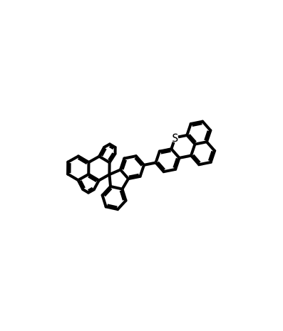 c1ccc2c(c1)-c1cc(-c3ccc4c(c3)Sc3cccc5cccc-4c35)ccc1C21c2ccccc2-c2cccc3cccc1c23